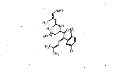 C=C(/C(=C/C=C(C)C)c1cc(CC)ccc1C)C(CNCCC)N/C(C)=C/C(C)=C\NC